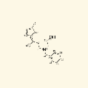 Cc1csc(C(=O)CCN(CCO)Cc2ccccc2)c1